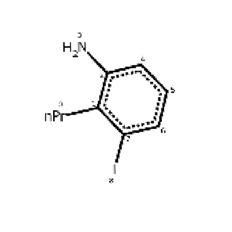 CCCc1c(N)cccc1I